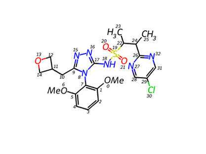 COc1cccc(OC)c1-n1c(CC2COC2)nnc1NS(=O)(=O)C(C)C(C)c1ncc(Cl)cn1